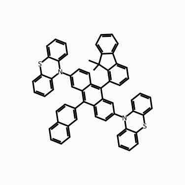 CC1(C)c2ccccc2-c2cccc(-c3c4ccc(N5c6ccccc6Sc6ccccc65)cc4c(-c4ccc5ccccc5c4)c4ccc(N5c6ccccc6Sc6ccccc65)cc34)c21